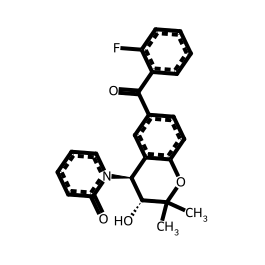 CC1(C)Oc2ccc(C(=O)c3ccccc3F)cc2[C@H](n2ccccc2=O)[C@H]1O